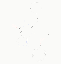 CCOc1ccccc1-n1ncc2c(=O)[nH]c(CC3CCCC3)nc21